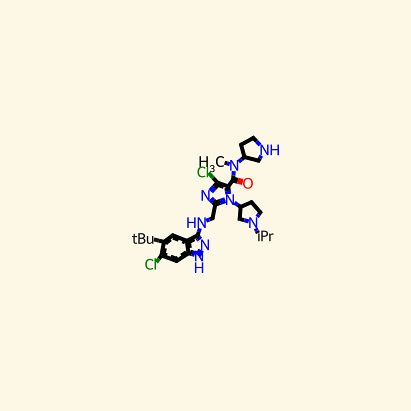 CC(C)N1CCC(n2c(CNc3n[nH]c4cc(Cl)c(C(C)(C)C)cc34)nc(Cl)c2C(=O)N(C)C2CCNC2)C1